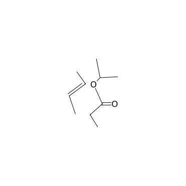 CC=CC.CCC(=O)OC(C)C